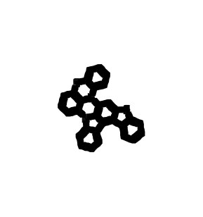 c1ccc2c(c1)Sc1cccc3c1B2c1cc2sc4ccccc4c2c2c4ccccc4n-3c12